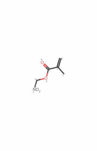 C=C(C)C(=O)OC[N+](=O)[O-]